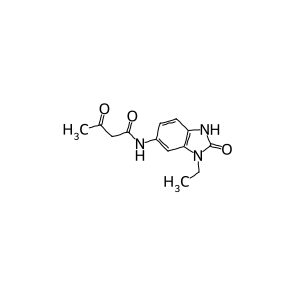 CCn1c(=O)[nH]c2ccc(NC(=O)CC(C)=O)cc21